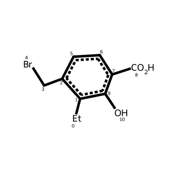 CCc1c(CBr)ccc(C(=O)O)c1O